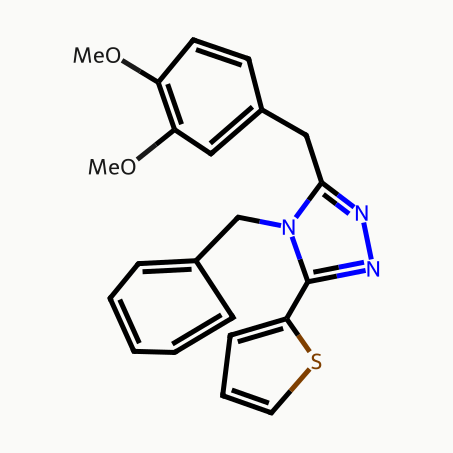 COc1ccc(Cc2nnc(-c3cccs3)n2Cc2ccccc2)cc1OC